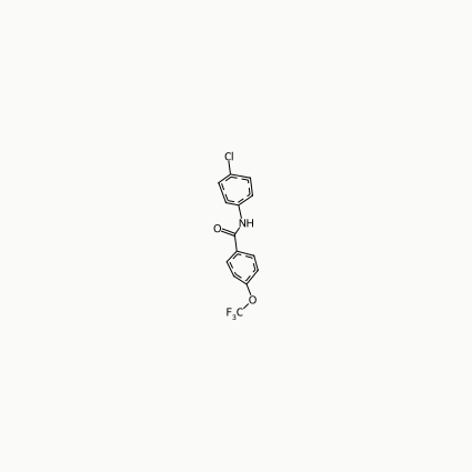 O=C(Nc1ccc(Cl)cc1)c1ccc(OC(F)(F)F)cc1